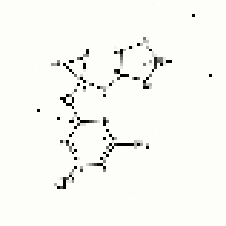 Fc1cc(Cl)cc(OC2(CC3CCNC3)CC2)c1